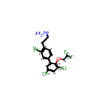 NCCc1ccc(-c2cc(Cl)cc(Cl)c2OCC(F)F)cc1F